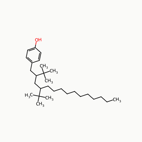 CCCCCCCCCCCC(CC(Cc1ccc(O)cc1)C(C)(C)C)C(C)(C)C